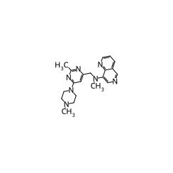 Cc1nc(CN(C)c2cncc3cccnc23)cc(N2CCN(C)CC2)n1